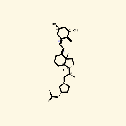 C=C1/C(=C\C=C2/CCC[C@]3(C)[C@@H]([C@H](C)CN4CC[C@H](CC(F)F)C4)CC[C@@H]23)C[C@@H](O)C[C@@H]1O